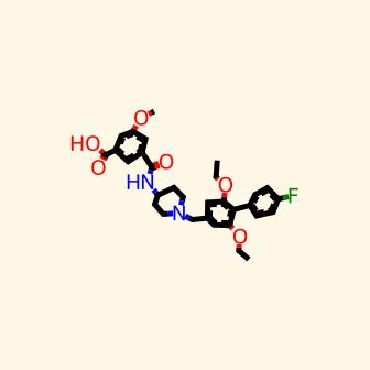 CCOc1cc(CN2CCC(NC(=O)c3cc(OC)cc(C(=O)O)c3)CC2)cc(OCC)c1-c1ccc(F)cc1